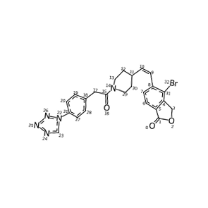 O=C1OCc2c1ccc(/C=C\C1CCN(C(=O)Cc3ccc(-n4cnnn4)cc3)CC1)c2Br